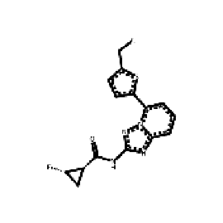 O=C(Nc1nc2cccc(-c3ccc(CCl)s3)n2n1)[C@H]1C[C@@H]1F